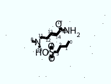 CCCCS(=O)(=O)O.CN(C)CCC=CC(N)=O